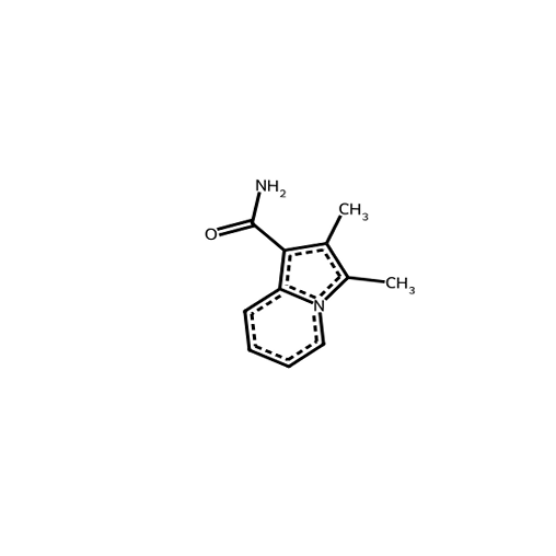 Cc1c(C(N)=O)c2ccccn2c1C